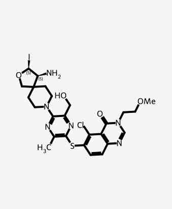 COCCn1cnc2ccc(Sc3nc(CO)c(N4CCC5(CC4)CO[C@@H](I)[C@H]5N)nc3C)c(Cl)c2c1=O